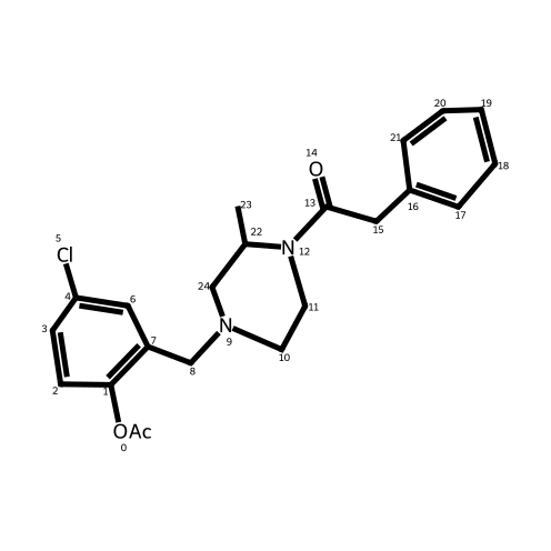 CC(=O)Oc1ccc(Cl)cc1CN1CCN(C(=O)Cc2ccccc2)C(C)C1